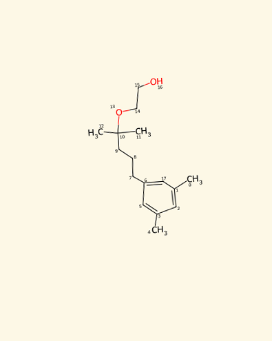 Cc1cc(C)cc(CCCC(C)(C)OCCO)c1